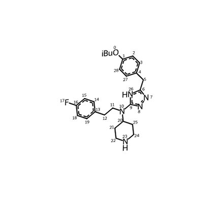 CC(C)COc1ccc(Cc2nnc(N(CCc3ccc(F)cc3)C3CCNCC3)[nH]2)cc1